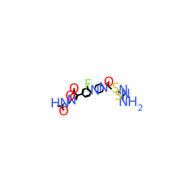 CC(=O)NCn1cc(-c2ccc(N3CCN(C(=O)CSc4nnc(N)s4)CC3)c(F)c2)c(=O)o1